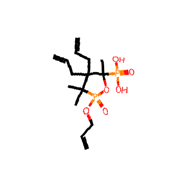 C=CCOP1(=O)OC(C)(P(=O)(O)O)C(CC=C)(CC=C)C1(C)C